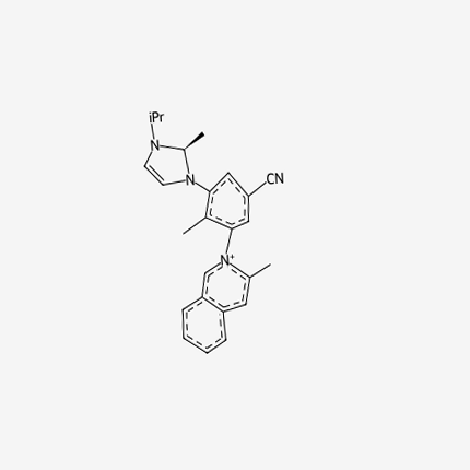 Cc1c(N2C=CN(C(C)C)[C@H]2C)cc(C#N)cc1-[n+]1cc2ccccc2cc1C